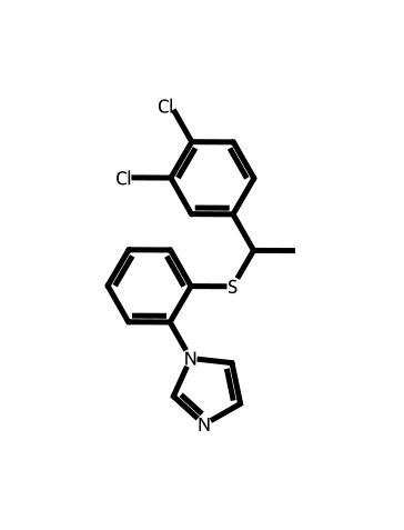 CC(Sc1ccccc1-n1ccnc1)c1ccc(Cl)c(Cl)c1